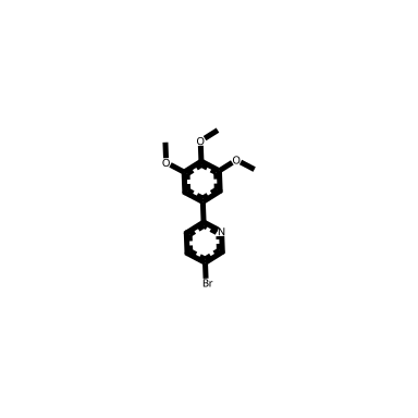 COc1cc(-c2ccc(Br)cn2)cc(OC)c1OC